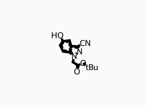 CC(C)(C)OC(=O)Cn1nc(C#N)c2cc(O)ccc21